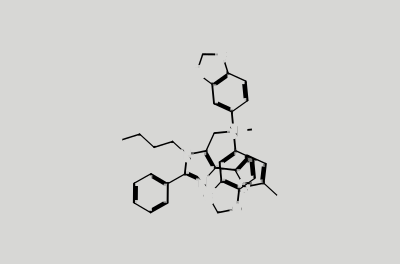 CCCCn1c(-c2ccccc2)nc(-c2ccc(C)s2)c1C[N+](C)(c1ccc2c(c1)OCO2)c1ccc2c(c1)OCO2